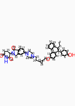 CCC(=C(c1ccc(O)cc1)c1ccc(OCC2CC2CCN2CCN(c3ccc4c(c3)CN(C3CCC(=O)NC3=O)C4=O)CC2)cc1)c1ccccc1